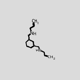 C=CCNCC1CCCC(CNCC=C)C1